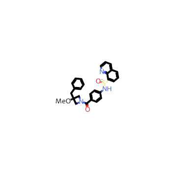 COC1(Cc2ccccc2)CN(C(=O)c2ccc(N[S+]([O-])c3cccc4cccnc34)cc2)C1